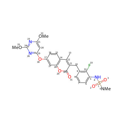 CNS(=O)(=O)Nc1cccc(Cc2c(C)c3ccc(Oc4cc(OC)nc(OC)n4)cc3oc2=O)c1F